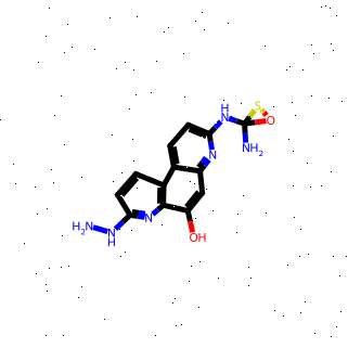 NNc1ccc2c(n1)c(O)cc1nc(NC3(N)OS3)ccc12